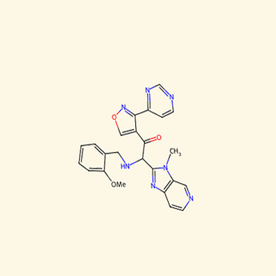 COc1ccccc1CNC(C(=O)c1conc1-c1ccncn1)c1nc2ccncc2n1C